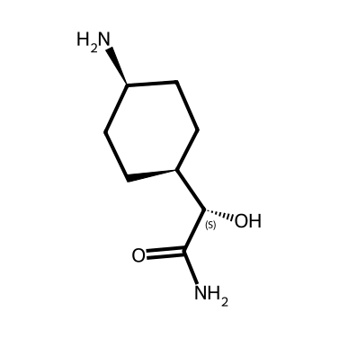 NC(=O)[C@@H](O)[C@H]1CC[C@@H](N)CC1